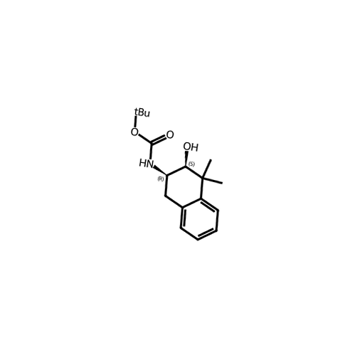 CC(C)(C)OC(=O)N[C@@H]1Cc2ccccc2C(C)(C)[C@@H]1O